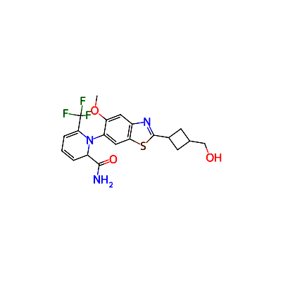 COc1cc2nc(C3CC(CO)C3)sc2cc1N1C(C(F)(F)F)=CC=CC1C(N)=O